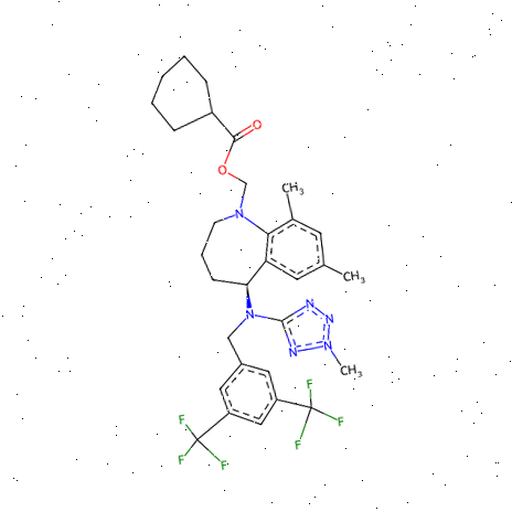 Cc1cc(C)c2c(c1)[C@@H](N(Cc1cc(C(F)(F)F)cc(C(F)(F)F)c1)c1nnn(C)n1)CCCN2COC(=O)C1CCCCC1